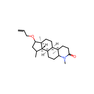 C=CCOC1CC(C)[C@H]2[C@@H]3CCC4N(C)C(=O)CC[C@]4(C)[C@@H]3CC[C@]12C